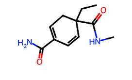 CCC1(C(=O)NC)C=CC(C(N)=O)=CC1